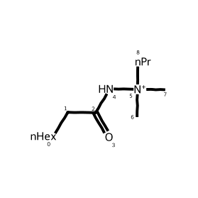 CCCCCCCC(=O)N[N+](C)(C)CCC